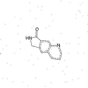 O=C1NCc2cc3cccnc3cc21